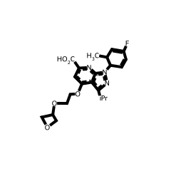 CC(C)c1nn(C2C=CC(F)=CC2C)c2nc(C(=O)O)cc(OCCOC3COC3)c12